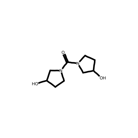 O=C(N1CCC(O)C1)N1CCC(O)C1